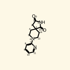 O=C1CC2(CCN(c3ccccn3)CC2)C(=O)N1